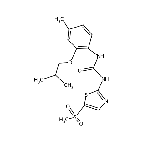 Cc1ccc(NC(=O)Nc2ncc(S(C)(=O)=O)s2)c(OCC(C)C)c1